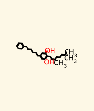 CC(C)=CCCC(C)=CCc1c(O)cc(CCCCCCc2ccccc2)cc1O